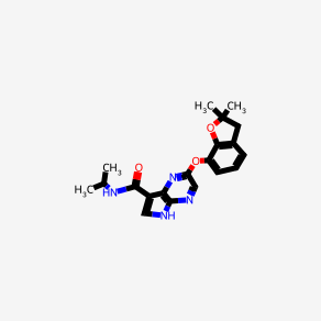 CC(C)NC(=O)c1c[nH]c2ncc(Oc3cccc4c3OC(C)(C)C4)nc12